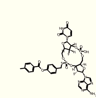 Cc1ccc(C(=O)Oc2ccc(CSP3(=O)OC[C@H]4O[C@@H](n5ccc(=O)[nH]c5=O)[C@H](OP(=O)(O)OC[C@H]5O[C@@H](n6cnc7c(N)ncnc76)[C@H](F)[C@@H]5O3)[C@@H]4F)cc2)cc1